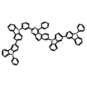 c1ccc(-c2nc(-c3cccc(-n4c5ccccc5c5cc(-c6ccc7c(c6)c6ccccc6n7-c6ccccc6)ccc54)c3)nc3ccc4cc(-n5c6ccccc6c6cc(-c7ccc8c(c7)c7ccccc7n8-c7ccccc7)ccc65)ccc4c23)cc1